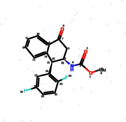 CC(C)(C)OC(=O)N[C@H]1CC(=O)c2ccccc2[C@@H]1c1cc(F)ccc1F